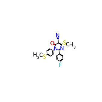 CSc1ccc(-n2c(-c3ccc(F)cc3)nc(SC)c(C#N)c2=O)cc1